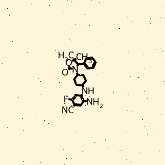 CC1(C)OC(=O)N(C2CCC(Nc3cc(F)c(C#N)cc3N)CC2)C1c1ccccc1